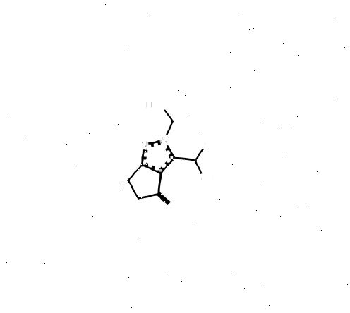 CCn1nc2c(c1C(C)C)C(=O)CC2